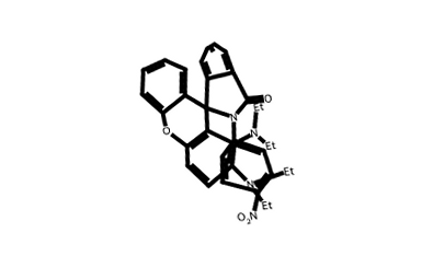 CCN(CC)c1ccc2c(c1N(CC)CC)C1(c3ccccc3O2)c2ccccc2C(=O)N1c1ccc([N+](=O)[O-])cc1